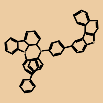 C1=CC(N(c2ccc(-c3ccccc3)cc2)c2ccc(-c3ccc4sc5ccc6ccccc6c5c4c3)cc2)C2C(=C1)c1ccccc1N2c1ccccc1